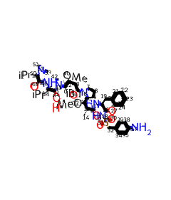 CCC(C)[C@@H]([C@@H](CC(=O)N1CCC[C@H]1[C@H](OC)[C@@H](C)C(=O)N[C@@H](Cc1ccccc1)C(=O)NS(=O)(=O)Cc1ccc(N)cc1)OC)N(C)C(O)[C@@H](NC(=O)[C@H](C(C)C)N(C)C)C(C)C